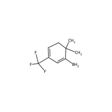 BC1=CC(C(F)(F)F)=CCC1(C)C